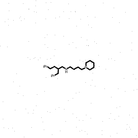 CC(C)CCC(CNCCCCN1CCCCC1)CC(C)C